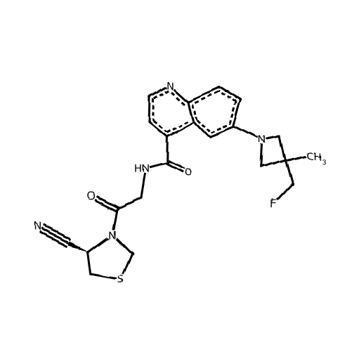 CC1(CF)CN(c2ccc3nccc(C(=O)NCC(=O)N4CSC[C@H]4C#N)c3c2)C1